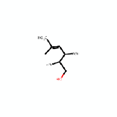 CCCCC(C=C(C)C(=O)O)C(CO)CCC